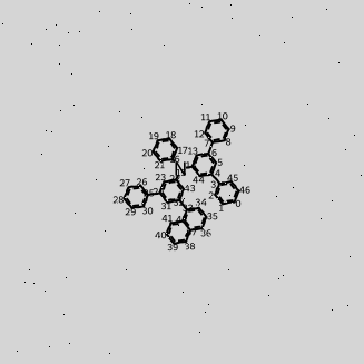 c1ccc(-c2cc(-c3ccccc3)cc(N(c3ccccc3)c3cc(-c4ccccc4)cc(-c4cccc5ccccc45)c3)c2)cc1